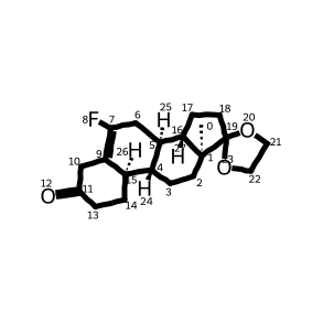 C[C@]12CC[C@H]3[C@@H](CC(F)=C4CC(=O)CC[C@@H]43)[C@@H]1CCC21OCCO1